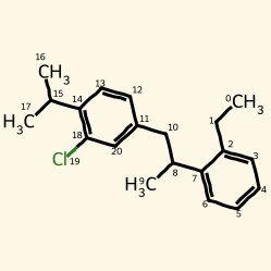 CCc1ccccc1C(C)Cc1ccc(C(C)C)c(Cl)c1